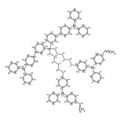 C=Cc1ccc(N(c2ccccc2)c2ccc(CCCCCCC3(CCCCCCc4ccc(N(c5ccccc5)c5ccc(C=C)cc5)cc4)c4cc(-c5ccc(N(c6ccccc6)c6ccccc6)cc5)ccc4-c4ccc(-c5ccc(N(c6ccccc6)c6ccccc6)cc5)cc43)cc2)cc1